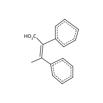 CC(=C(C(=O)O)c1ccccc1)c1ccccc1